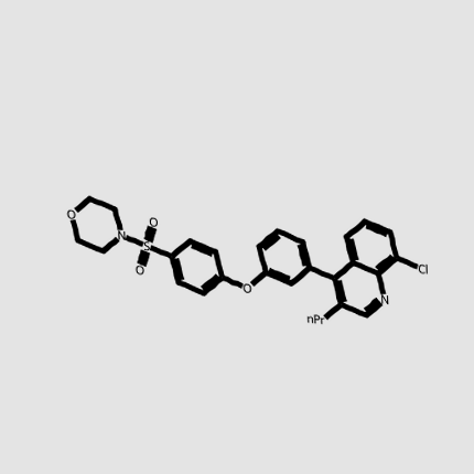 CCCc1cnc2c(Cl)cccc2c1-c1cccc(Oc2ccc(S(=O)(=O)N3CCOCC3)cc2)c1